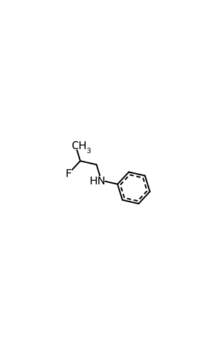 CC(F)CNc1ccccc1